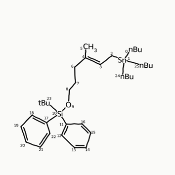 CCC[CH2][Sn]([CH2]C=C(C)CCCO[Si](c1ccccc1)(c1ccccc1)C(C)(C)C)([CH2]CCC)[CH2]CCC